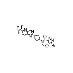 Cc1cc(-c2ncc3nc(C(F)(F)F)ccc3n2)ccc1N1CCOc2c(Br)nn(C)c2C1=O